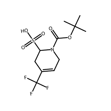 CC(C)(C)OC(=O)N1CC=C(C(F)(F)F)CC1S(=O)(=O)O